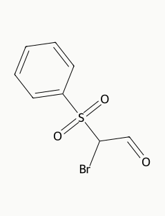 O=CC(Br)S(=O)(=O)c1ccccc1